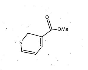 COC(=O)C1=CC=CSC1